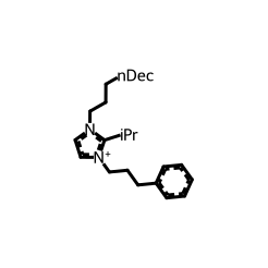 CCCCCCCCCCCCCn1cc[n+](CCCc2ccccc2)c1C(C)C